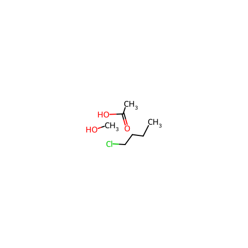 CC(=O)O.CCCCCl.CO